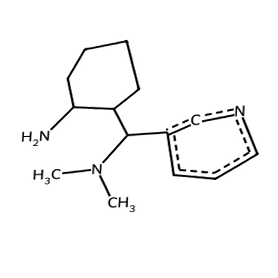 CN(C)C(c1cccnc1)C1CCCCC1N